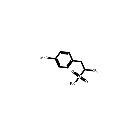 COc1ccc(CC(C(F)(F)F)S(=O)(=O)C(F)(F)F)cc1